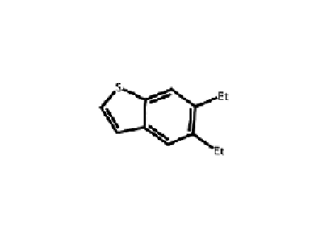 CCc1cc2ccsc2cc1CC